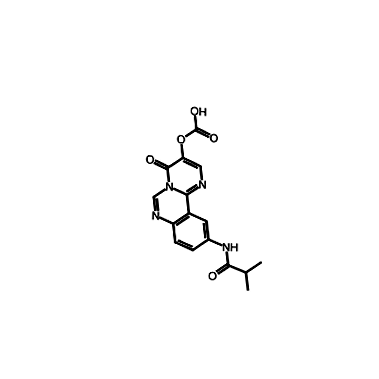 CC(C)C(=O)Nc1ccc2ncn3c(=O)c(OC(=O)O)cnc3c2c1